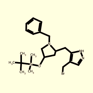 CC(C)(C)[Si](C)(C)OC1CC(Cc2[nH]ncc2CBr)N(Cc2ccccc2)C1